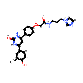 Cc1cc(-c2cc(-c3ccc(OCC(=O)NCCCn4ccnc4)cc3)[nH]c(=O)n2)ccc1O